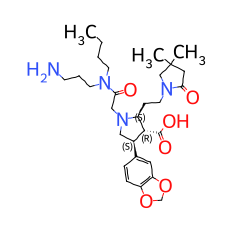 CCCCN(CCCN)C(=O)CN1C[C@H](c2ccc3c(c2)OCO3)[C@@H](C(=O)O)[C@@H]1CCN1CC(C)(C)CC1=O